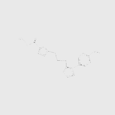 CCCCCCc1ccc(-n2cccc2CCCc2ccc(C(=O)OCCC)s2)cc1